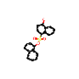 O=S(=O)(Oc1cccc2ccccc12)c1ccc(O)c2ccccc12